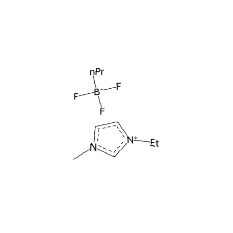 CCC[B-](F)(F)F.CC[n+]1ccn(C)c1